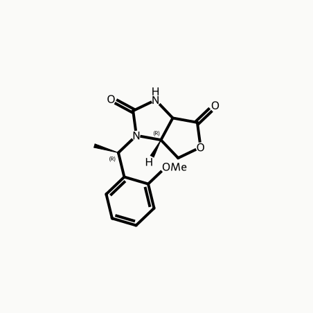 COc1ccccc1[C@@H](C)N1C(=O)NC2C(=O)OC[C@@H]21